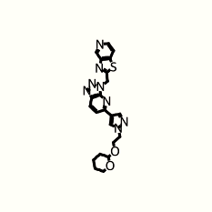 c1cc2sc(Cn3nnc4ccc(-c5cnn(CCOC6CCCCO6)c5)nc43)nc2cn1